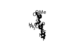 COC(=O)c1nccc(-c2cc(-n3c(C)cc(OCc4ncc(F)cc4F)cc3=O)c(C)s2)n1